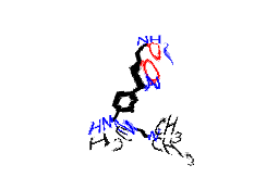 CN(C)CCN(C)C(=N)c1ccc(-c2cc(CC(N)=O)on2)cc1